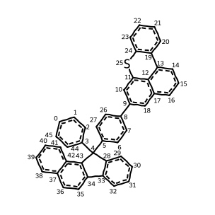 c1ccc(C2(c3ccc(-c4cc5c6c(cccc6c4)-c4ccccc4S5)cc3)c3ccccc3-c3ccc4ccccc4c32)cc1